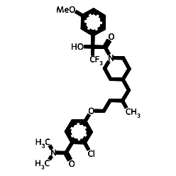 COc1cccc(C(O)(C(=O)N2CCC(CC(C)CCOc3ccc(C(=O)N(C)C)c(Cl)c3)CC2)C(F)(F)F)c1